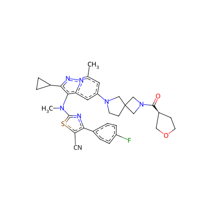 Cc1cc(N2CCC3(CN(C(=O)[C@H]4CCOC4)C3)C2)cc2c(N(C)c3nc(-c4ccc(F)cc4)c(C#N)s3)c(C3CC3)nn12